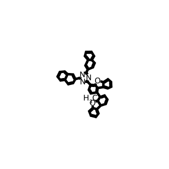 CC12Oc3ccccc3C1C=CC=C2c1ccc(-c2nc(-c3ccc4ccccc4c3)nc(-c3ccc4ccccc4c3)n2)c2oc3ccccc3c12